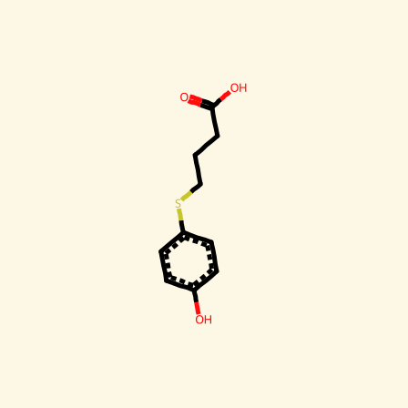 O=C(O)CCCSc1ccc(O)cc1